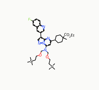 CCOC(=O)C1(C)CCC(c2cc(N(COCC[Si](C)(C)C)COCC[Si](C)(C)C)n3ncc(-c4cnc5ccc(F)cc5c4)c3n2)CC1